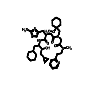 COC1(CN(CC(=O)N(C)CCc2ccccn2)C(=O)CC(Cc2csc(N)n2)C(=O)NC(CC2CCCCC2)C(O)CC2CC2)CCCCC1